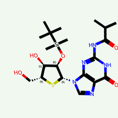 CC(C)C(=O)Nc1nc2c(ncn2[C@@H]2S[C@H](CO)[C@@H](O)[C@H]2O[Si](C)(C)C(C)(C)C)c(=O)[nH]1